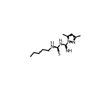 CCCCCNC(=S)NC(=N)n1nc(C)cc1C